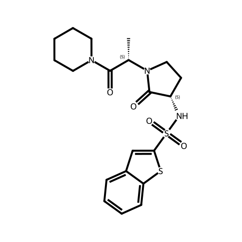 C[C@@H](C(=O)N1CCCCC1)N1CC[C@H](NS(=O)(=O)c2cc3ccccc3s2)C1=O